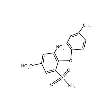 Cc1ccc(Oc2c([N+](=O)[O-])cc(C(=O)O)cc2S(N)(=O)=O)cc1